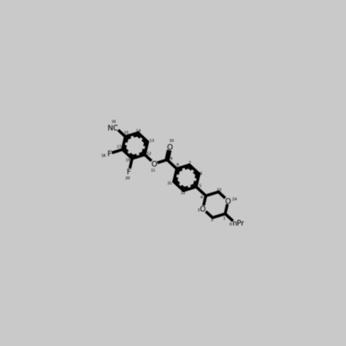 CCCC1COC(c2ccc(C(=O)Oc3ccc(C#N)c(F)c3F)cc2)CO1